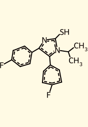 CC(C)n1c(S)nc(-c2ccc(F)cc2)c1-c1ccc(F)cc1